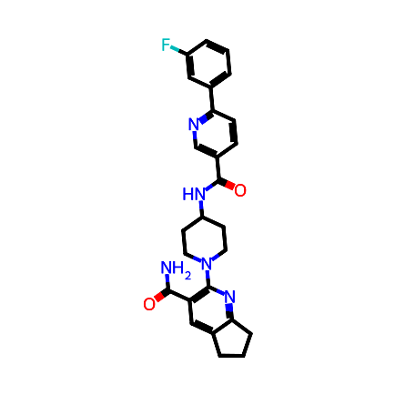 NC(=O)c1cc2c(nc1N1CCC(NC(=O)c3ccc(-c4cccc(F)c4)nc3)CC1)CCC2